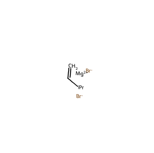 C=CC(C)C.[Br-].[Br-].[Mg+2]